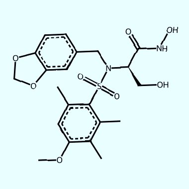 COc1cc(C)c(S(=O)(=O)N(Cc2ccc3c(c2)OCO3)[C@H](CO)C(=O)NO)c(C)c1C